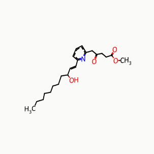 CCCCCCCCC(O)C=Cc1cccc(CC(=O)CCC(=O)OC)n1